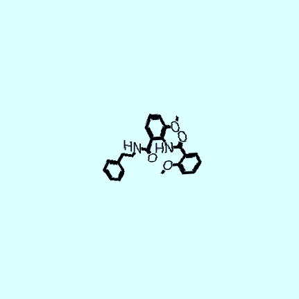 COc1ccccc1C(=O)Nc1c(OC)cccc1C(=O)NCCc1ccccc1